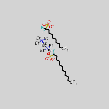 CC[N+](CC)(CC)CC.CC[N+](CC)(CC)CC.O=S(=O)([O-])C(F)(F)CCCCCCCCC(F)(F)F.O=S(=O)([O-])C(F)CCCCCCCCCCC(F)(F)F